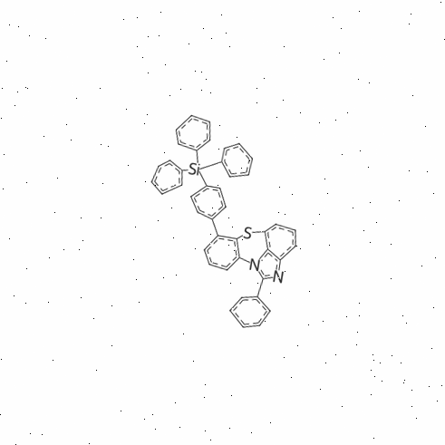 c1ccc(-c2nc3cccc4c3n2-c2cccc(-c3ccc([Si](c5ccccc5)(c5ccccc5)c5ccccc5)cc3)c2S4)cc1